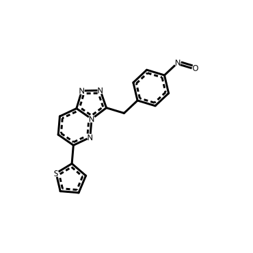 O=Nc1ccc(Cc2nnc3ccc(-c4cccs4)nn23)cc1